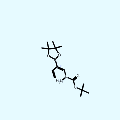 C=C/C(=C\N(N)C(=O)OC(C)(C)C)B1OC(C)(C)C(C)(C)O1